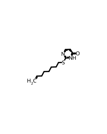 C=CCCCCCCSc1nccc(=O)[nH]1